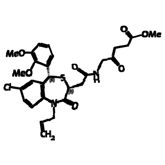 C=CCN1C(=O)[C@H](CC(=O)NCC(=O)CCC(=O)OC)S[C@@H](c2cccc(OC)c2OC)c2cc(Cl)ccc21